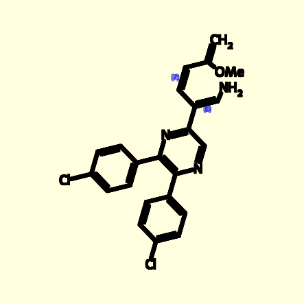 C=C(/C=C\C(=C/N)c1cnc(-c2ccc(Cl)cc2)c(-c2ccc(Cl)cc2)n1)OC